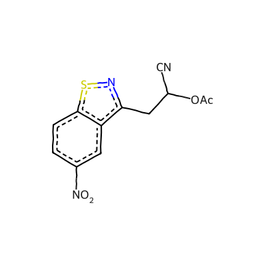 CC(=O)OC(C#N)Cc1nsc2ccc([N+](=O)[O-])cc12